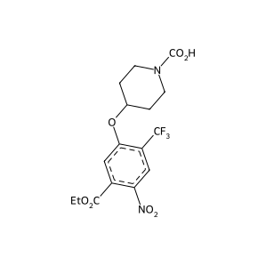 CCOC(=O)c1cc(OC2CCN(C(=O)O)CC2)c(C(F)(F)F)cc1[N+](=O)[O-]